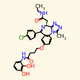 CCNC(=O)C[C@@H]1N=C(c2ccc(Cl)cc2)c2cc(OCCCC(=O)Nc3cccc(O)c3O)ccc2-n2c(C)nnc21